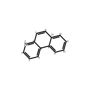 [c]1cc2ncccc2c2ccccc12